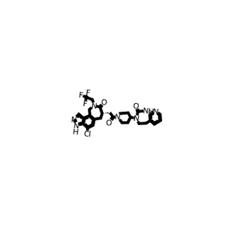 O=C(C[C@@H]1Cc2cc(Cl)c3[nH]ncc3c2CN(CC(F)(F)F)C1=O)N1CCC(N2CCc3cccnc3NC2=O)CC1